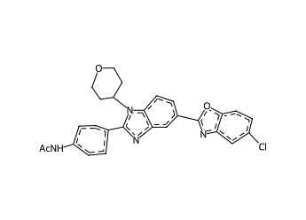 CC(=O)Nc1ccc(-c2nc3cc(-c4nc5cc(Cl)ccc5o4)ccc3n2C2CCOCC2)cc1